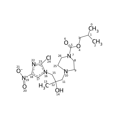 CC(C)COC(=O)N1CCN(CC(C)(O)Cn2cc([N+](=O)[O-])nc2Cl)CC1